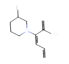 C=C/C=C(\C(=C)C(C)CC)N1CCCC(CC)C1